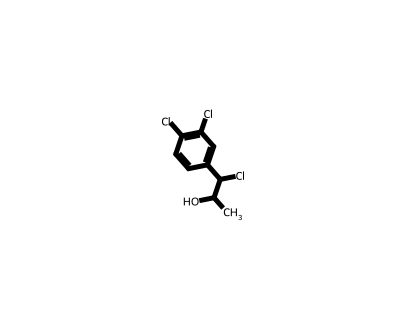 CC(O)C(Cl)c1ccc(Cl)c(Cl)c1